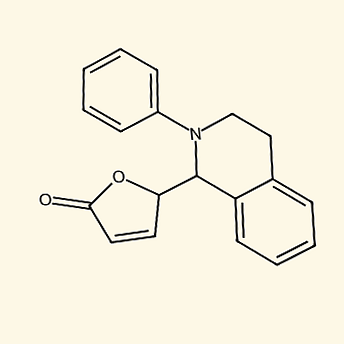 O=C1C=CC(C2c3ccccc3CCN2c2ccccc2)O1